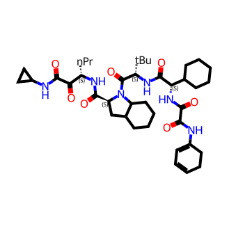 CCC[C@H](NC(=O)[C@@H]1CC2CCCCC2N1C(=O)[C@@H](NC(=O)[C@@H](NC(=O)C(=O)NC1=CC=CCC1)C1CCCCC1)C(C)(C)C)C(=O)C(=O)NC1CC1